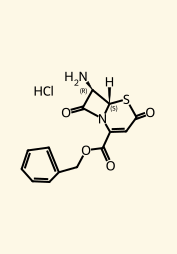 Cl.N[C@@H]1C(=O)N2C(C(=O)OCc3ccccc3)=CC(=O)S[C@@H]12